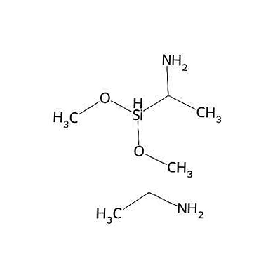 CCN.CO[SiH](OC)C(C)N